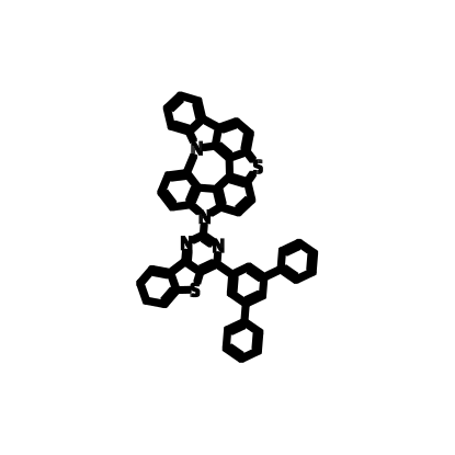 C1=c2sc3c(-c4cc(-c5ccccc5)cc(-c5ccccc5)c4)nc(-n4c5ccc6sc7ccc8c9ccccc9n9c%10cccc4c%10c5c6c7c89)nc3c2=CCC1